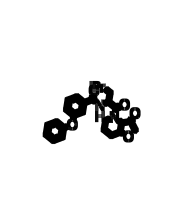 CC(C)CC(NC(=O)c1cccc(Oc2ccccc2)c1)C(=O)N1CCCC2OCC(=O)C21